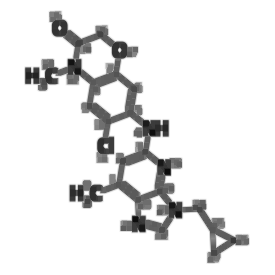 Cc1cc(Nc2cc3c(cc2Cl)N(C)C(=O)CO3)nc2c1ncn2CC1CC1